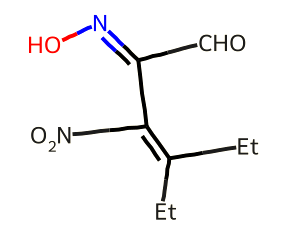 CCC(CC)=C(/C(C=O)=N\O)[N+](=O)[O-]